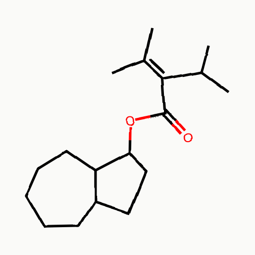 CC(C)=C(C(=O)OC1CCC2CCCCCC21)C(C)C